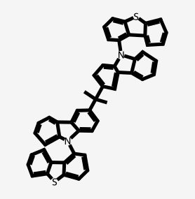 CC(C)(c1ccc2c(c1)c1ccccc1n2-c1cccc2sc3ccccc3c12)c1ccc2c(c1)c1ccccc1n2-c1cccc2sc3ccccc3c12